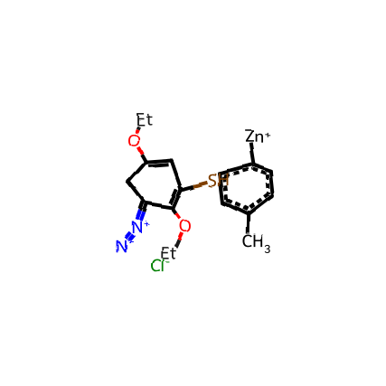 CCOC1=CC(S)=C(OCC)C(=[N+]=[N-])C1.Cc1cc[c]([Zn+])cc1.[Cl-]